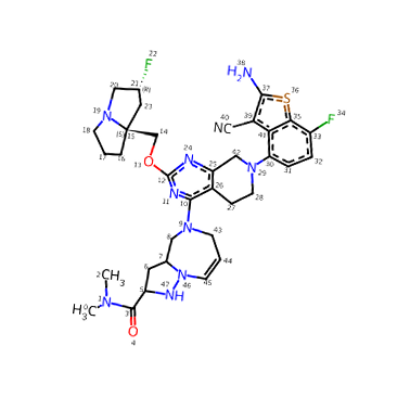 CN(C)C(=O)C1CC2CN(c3nc(OC[C@@]45CCCN4C[C@H](F)C5)nc4c3CCN(c3ccc(F)c5sc(N)c(C#N)c35)C4)CC=CN2N1